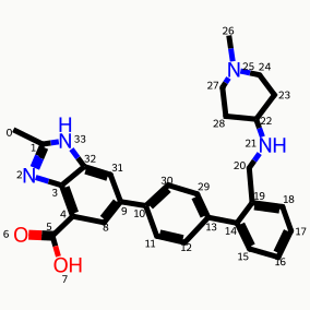 Cc1nc2c(C(=O)O)cc(-c3ccc(-c4ccccc4CNC4CCN(C)CC4)cc3)cc2[nH]1